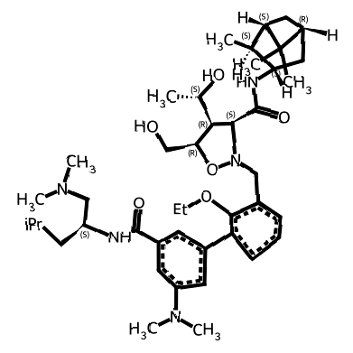 CCOc1c(CN2O[C@@H](CO)[C@@H]([C@H](C)O)[C@H]2C(=O)N[C@H]2C[C@H]3C[C@@H]([C@@H]2C)C3(C)C)cccc1-c1cc(C(=O)N[C@@H](CC(C)C)CN(C)C)cc(N(C)C)c1